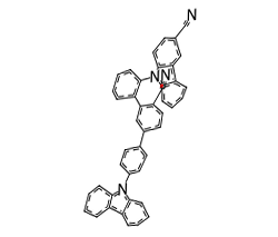 N#Cc1ccc2c(c1)c1ccccc1n2-c1ccccc1-c1cc(-c2ccc(-n3c4ccccc4c4ccccc43)cc2)ccc1C#N